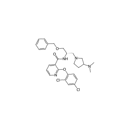 CN(C)C1CCN(C[C@@H](COCc2ccccc2)NC(=O)c2cccnc2Oc2ccc(Cl)cc2Cl)C1